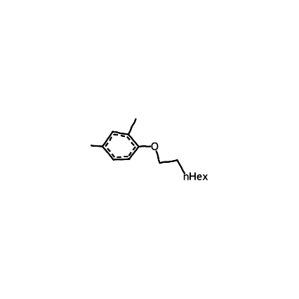 CCCCCCCCOc1ccc(C)cc1C